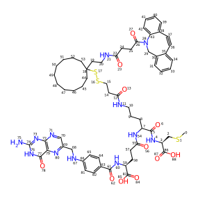 CSC[C@H](NC(=O)C(CCCNC(=O)CCSSC1(CCNC(=O)CCC(=O)N2Cc3ccccc3C#Cc3ccccc32)CCCCCCCCCC1)NC(=O)CC[C@H](NC(=O)c1ccc(NCc2cnc3nc(N)[nH]c(=O)c3n2)cc1)C(=O)O)C(=O)O